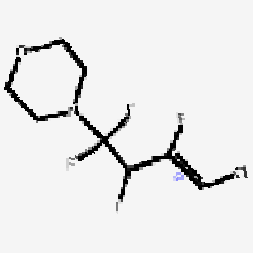 F/C(=C\Cl)C(F)C(F)(F)N1CCOCC1